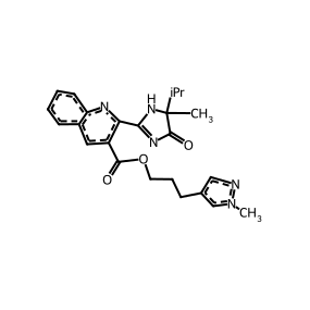 CC(C)C1(C)NC(c2nc3ccccc3cc2C(=O)OCCCc2cnn(C)c2)=NC1=O